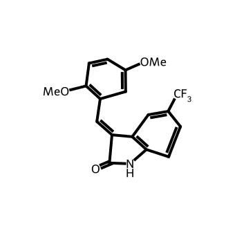 COc1ccc(OC)c(/C=C2/C(=O)Nc3ccc(C(F)(F)F)cc32)c1